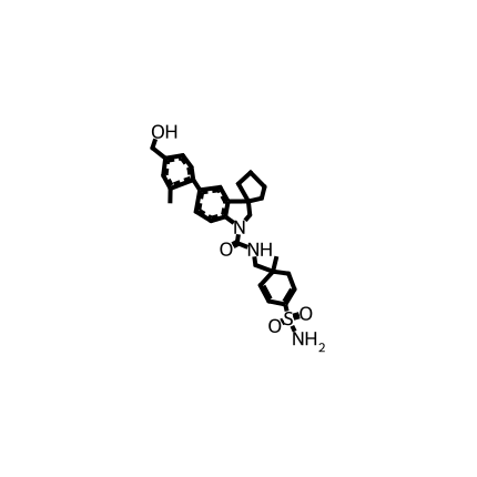 Cc1cc(CO)ccc1-c1ccc2c(c1)C1(CCCC1)CN2C(=O)NCC1(C)C=CC(S(N)(=O)=O)=CC1